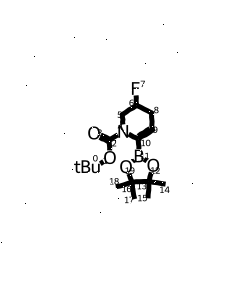 CC(C)(C)OC(=O)N1CC(F)CC=C1B1OC(C)(C)C(C)(C)O1